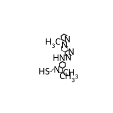 Cc1cccnc1N1CCc2c(ncnc2Nc2ccc3c(c2)N(CCS)CC3(C)C)C1